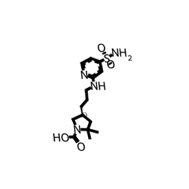 CC1(C)C[C@H](CCCNc2cc(S(N)(=O)=O)ccn2)CN1C(=O)O